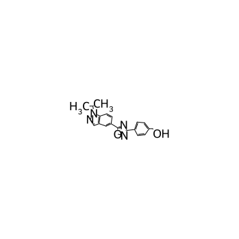 CC(C)n1ncc2cc(-c3nc(-c4ccc(CO)cc4)no3)ccc21